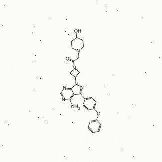 Nc1ncnc2c1c(-c1ccc(Oc3ccccc3)cc1)nn2C1CN(C(=O)CN2CCC(O)CC2)C1